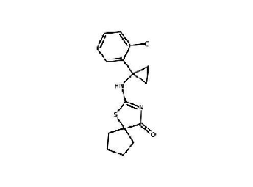 O=C1N=C(NC2(c3ccccc3Cl)CC2)SC12CCCC2